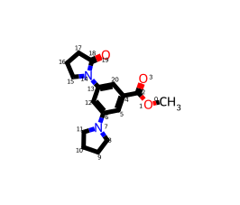 COC(=O)c1cc(N2CCCC2)cc(N2CCCC2=O)c1